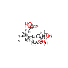 CC(C)(CO)CO.CCCCC(CC)C(=O)O.CCCCC(CC)C(=O)O.CCCCCCCC(=O)O